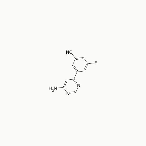 N#Cc1cc(F)cc(-c2cc(N)ncn2)c1